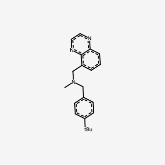 CN(Cc1ccc(C(C)(C)C)cc1)Cc1cccc2nccnc12